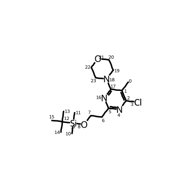 Cc1c(Cl)nc(CCO[Si](C)(C)C(C)(C)C)nc1N1CCOCC1